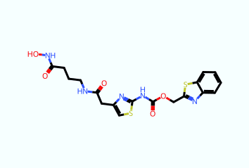 O=C(CCCNC(=O)Cc1csc(NC(=O)OCc2nc3ccccc3s2)n1)NO